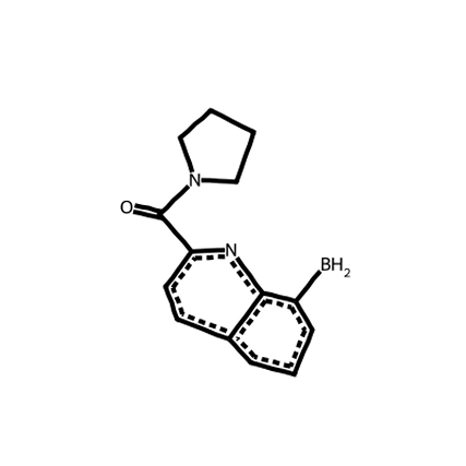 Bc1cccc2ccc(C(=O)N3CCCC3)nc12